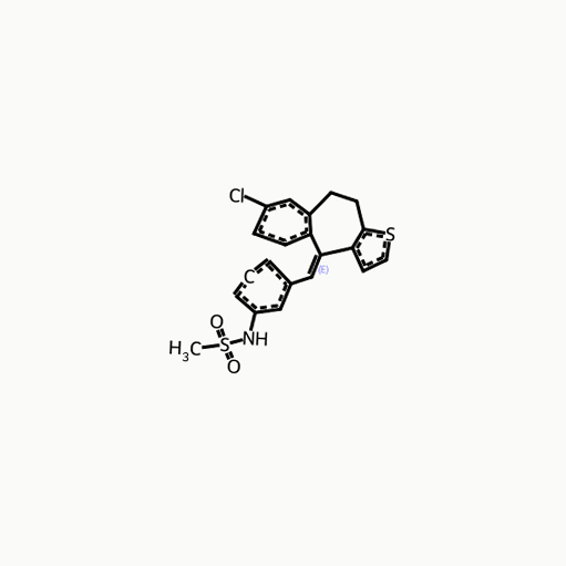 CS(=O)(=O)Nc1cccc(/C=C2\c3ccc(Cl)cc3CCc3sccc32)c1